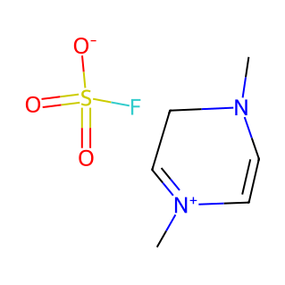 CN1C=C[N+](C)=CC1.O=S(=O)([O-])F